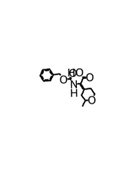 CC1CC(=C(NC(=O)OCc2ccccc2)C(=O)O)CCO1